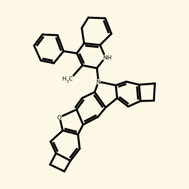 CC1=C(c2ccccc2)C2=C(C=CCC2)NC1n1c2cc3c(cc2c2cc4c(cc21)oc1cc2c(cc14)CC2)CC3